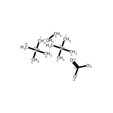 CO.C[N+](C)(C)C.C[N+](C)(C)C.O=C([O-])[O-]